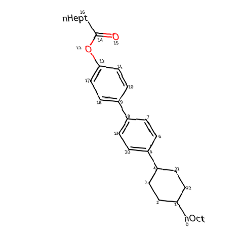 CCCCCCCCC1CCC(c2ccc(-c3ccc(OC(=O)CCCCCCC)cc3)cc2)CC1